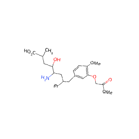 COC(=O)COc1cc(CC(CC(N)C(O)CC(C)C(=O)O)C(C)C)ccc1OC